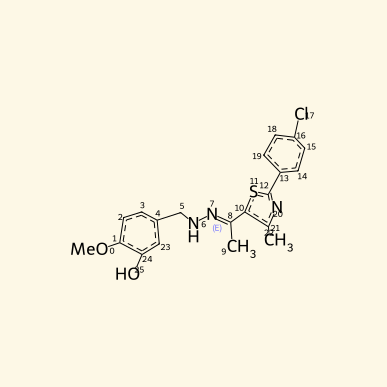 COc1ccc(CN/N=C(\C)c2sc(-c3ccc(Cl)cc3)nc2C)cc1O